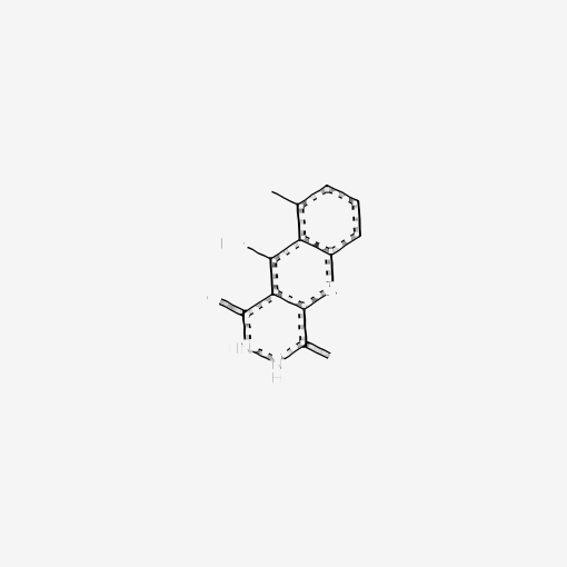 CCc1cccc2nc3c(=O)[nH][nH]c(=O)c3c(O)c12